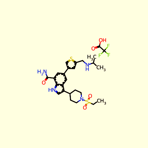 CCS(=O)(=O)N1CCC(c2c[nH]c3c(C(N)=O)cc(-c4csc(CNC(C)C)c4)cc23)CC1.O=C(O)C(F)(F)F